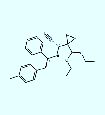 CCOC(OCC)C1([C@@H](C#N)N[C@@H](Cc2ccc(C)cc2)c2ccccc2)CC1